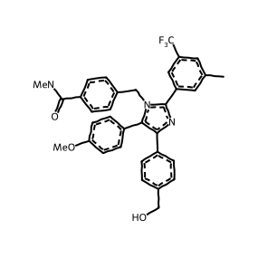 CNC(=O)c1ccc(Cn2c(-c3cc(C)cc(C(F)(F)F)c3)nc(-c3ccc(CO)cc3)c2-c2ccc(OC)cc2)cc1